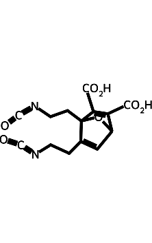 O=C=NCCC1=CC2OC1(CCN=C=O)C(C(=O)O)=C2C(=O)O